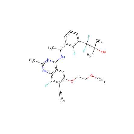 C#Cc1c(OCCOC)cc2c(N[C@H](C)c3cccc(C(F)(F)C(C)(C)O)c3F)nc(C)nc2c1F